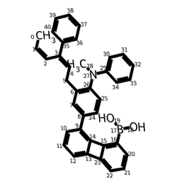 C/C=C\C(=C/Cc1cc(-c2cccc3c2-c2c(B(O)O)cccc2-3)ccc1N(C)c1ccccc1)c1ccccc1